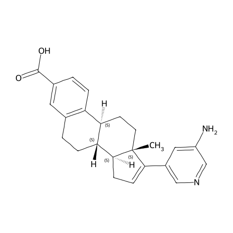 C[C@]12CC[C@@H]3c4ccc(C(=O)O)cc4CC[C@H]3[C@@H]1CC=C2c1cncc(N)c1